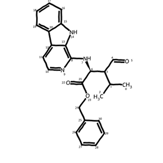 CC(C)C(C=O)[C@H](Nc1nccc2c1[nH]c1ccccc12)C(=O)OCc1ccccc1